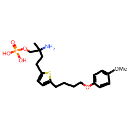 COc1ccc(OCCCCc2ccc(CCC(C)(N)COP(=O)(O)O)s2)cc1